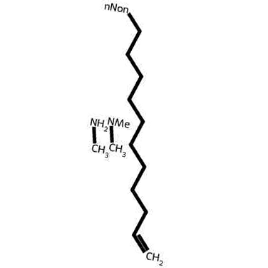 C=CCCCCCCCCCCCCCCCCCC.CN.CNC